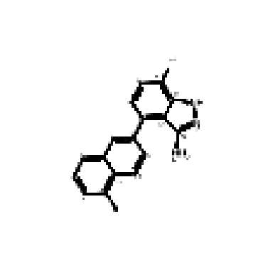 Cc1cccc2cc(-c3ccc(F)c4[nH]nc(N)c34)ccc12